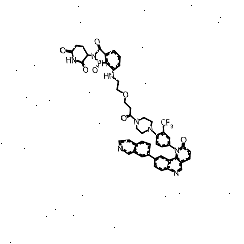 O=C1CCC(N2C(=O)c3cccc(NCCOCCC(=O)N4CCN(c5ccc(-n6c(=O)ccc7cnc8ccc(-c9ccc%10ccncc%10c9)cc8c76)cc5C(F)(F)F)CC4)c3[PH]2=O)C(=O)N1